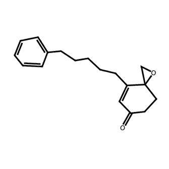 O=C1C=C(CCCCCc2ccccc2)C2(CC1)CO2